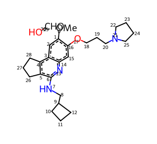 COc1cc2c3c(c(NCC4CCC4)nc2cc1OCCCN1CCCC1)CCC3.O=CO